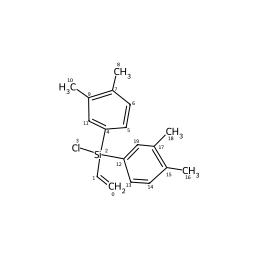 C=C[Si](Cl)(c1ccc(C)c(C)c1)c1ccc(C)c(C)c1